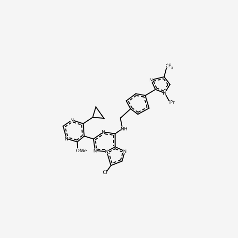 COc1ncnc(C2CC2)c1-c1nc(NCc2ccc(-c3nc(C(F)(F)F)cn3C(C)C)cc2)c2ncc(Cl)n2n1